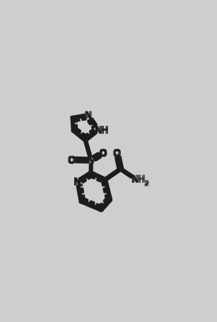 NC(=O)c1cccnc1S(=O)(=O)c1ccn[nH]1